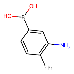 CCCc1ccc(B(O)O)cc1N